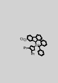 CC(C)C1=C(C(C)C)C[C]([Zr+2](=[C](c2ccccc2)c2ccccc2)[CH]2c3ccccc3-c3ccccc32)=C1.[Cl-].[Cl-]